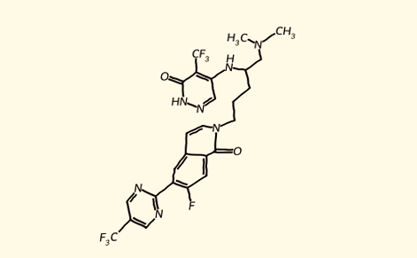 CN(C)CC(CCCn1ccc2cc(-c3ncc(C(F)(F)F)cn3)c(F)cc2c1=O)Nc1cn[nH]c(=O)c1C(F)(F)F